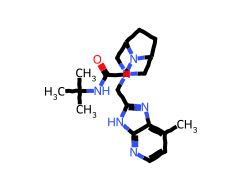 Cc1ccnc2[nH]c(CN3CC4CCC(C3)N4CC(=O)NC(C)(C)C)nc12